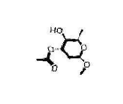 CO[C@H]1C[C@H](OC(C)=O)[C@@H](O)[C@@H](C)O1